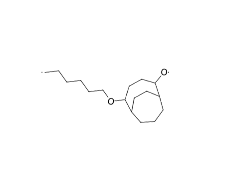 [CH2]CCCCCOC1CCC([O])C2CCCC1CC2